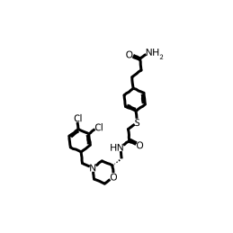 NC(=O)CCC1C=CC(SCC(=O)NC[C@H]2CN(CC3C=C(Cl)C(Cl)=CC3)CCO2)=CC1